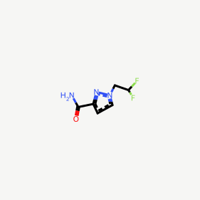 NC(=O)c1ccn(CC(F)F)n1